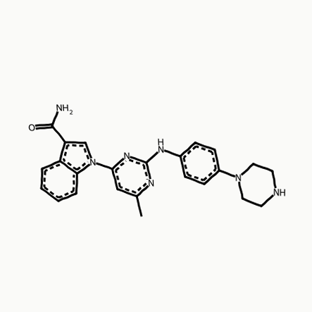 Cc1cc(-n2cc(C(N)=O)c3ccccc32)nc(Nc2ccc(N3CCNCC3)cc2)n1